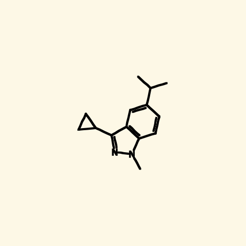 CC(C)c1ccc2c(c1)c(C1CC1)nn2C